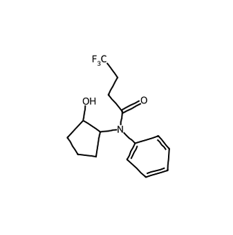 O=C(CCC(F)(F)F)N(c1ccccc1)C1CCCC1O